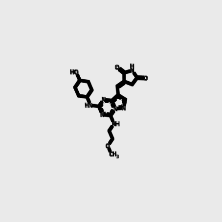 COCCNc1nc(NC2CCC(O)CC2)nc2c(/C=C3\CC(=O)NC3=O)cnn12